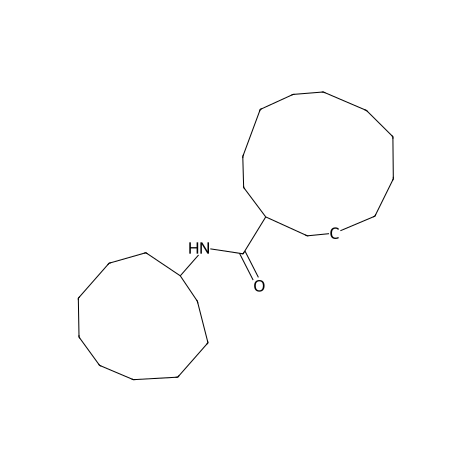 O=C(NC1CCCCCCCCC1)C1CCCCCCCCCCC1